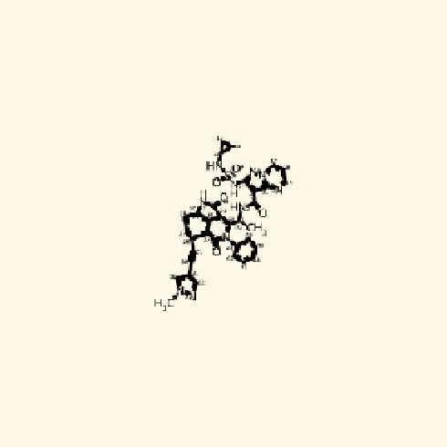 C[C@H](NC(=O)c1c(NS(=O)(=O)NC2CC2)nn2cccnc12)c1c2c3c(ccc(C#Cc4cnn(C)c4)c3c(=O)n1-c1ccccc1)NC2=O